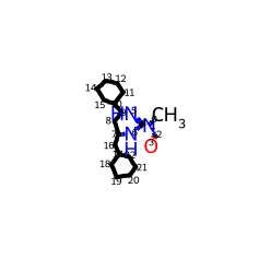 CN(C=O)C(=N)NC(CCC1CCCCC1)CC1CCCCC1